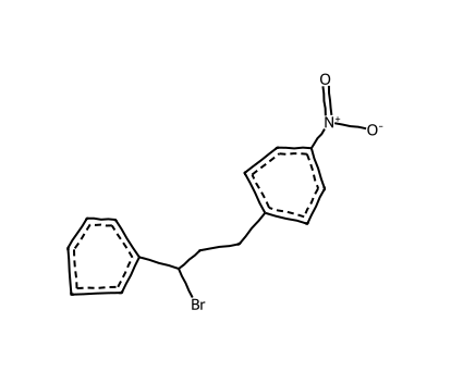 O=[N+]([O-])c1ccc(CCC(Br)c2ccccc2)cc1